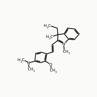 CCC1(C)C(/C=C/c2ccc(N(C)C)cc2OC)=[N+](C)c2ccccc21